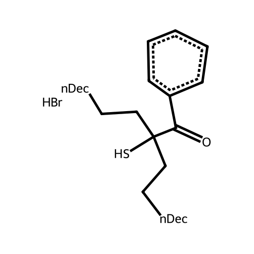 Br.CCCCCCCCCCCCC(S)(CCCCCCCCCCCC)C(=O)c1ccccc1